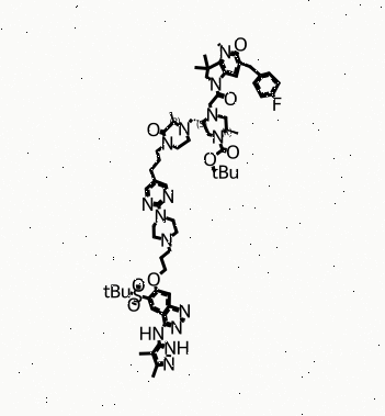 Cc1n[nH]c(Nc2ncnc3cc(OCCCN4CCN(c5ncc(CCCN6CCN(C[C@H]7CN(C(=O)OC(C)(C)C)[C@H](C)CN7CC(=O)N7CC(C)(C)c8c7cc(Cc7ccc(F)cc7)c(=O)n8C)[C@H](C)C6=O)cn5)CC4)c(S(=O)(=O)C(C)(C)C)cc23)c1C